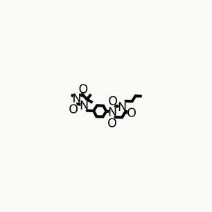 CCCCN1C(=O)CC(=O)N(C2CCC(CN3C(=O)N(C)C(=O)C3(C)C)CC2)C1=O